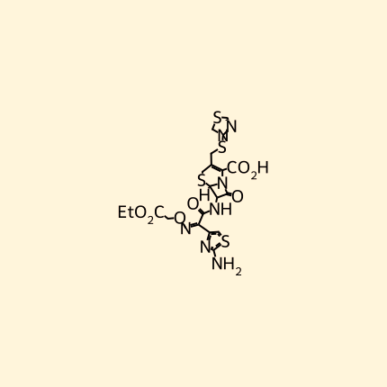 CCOC(=O)CO/N=C(\C(=O)NC1C(=O)N2C(C(=O)O)=C(CSN3CSC=N3)CS[C@H]12)c1csc(N)n1